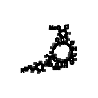 COc1ccc(C[C@H]2NC(=O)C=CC[C@@H]([C@H](C)[C@H]3O[C@@H]3c3ccc(CN=[N+]=[N-])cc3)OC(=O)[C@H](CC(C)(C)C)NC(=O)C(C)(C)CNC2=O)cc1Cl